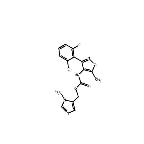 Cc1onc(-c2c(Cl)cccc2Cl)c1NC(=O)OCc1cncn1C